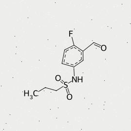 CCCS(=O)(=O)Nc1ccc(F)c(C=O)c1